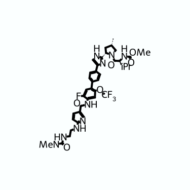 CNC(=O)NCCNc1ccc(C(=O)Nc2cc(OC(F)(F)F)c(-c3ccc(-c4c[nH]c([C@@H]5C[C@H](C)CN5C(=O)[C@@H](NC(=O)OC)C(C)C)n4)cc3)cc2F)cn1